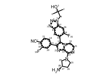 CC(C)(O)Cn1nnc2cc(-c3c(-c4ccc(C#N)c(F)c4)nc4c(N5CC[C@@H](N)C5)nccn34)c(F)cc21